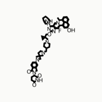 CCc1cccc2cc(O)cc(-c3ncc4c(N5CC6CCC(C5)N6)nc(OCC5(CN6CCC(CN7CCC8(C7)CN(c7ccc9c(c7)CN(C7CCC(=O)NC7=O)C9=O)C8)CC6)CC5)nc4c3F)c12